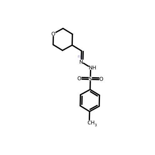 Cc1ccc(S(=O)(=O)N/N=C/C2CCOCC2)cc1